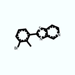 Cc1c(Br)cccc1-c1nc2cnccc2s1